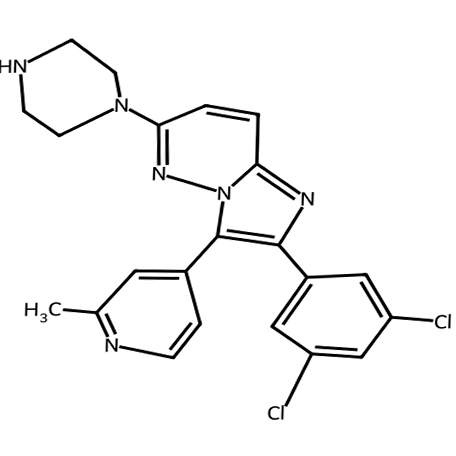 Cc1cc(-c2c(-c3cc(Cl)cc(Cl)c3)nc3ccc(N4CCNCC4)nn23)ccn1